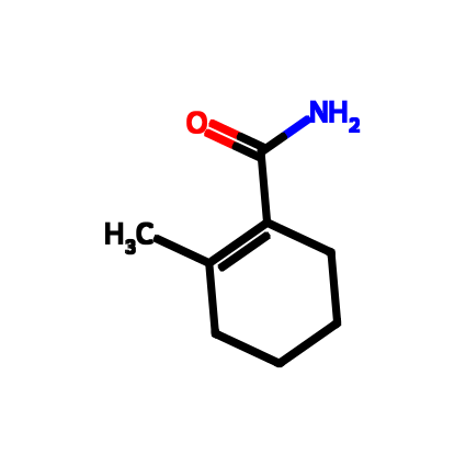 CC1=C(C(N)=O)CCCC1